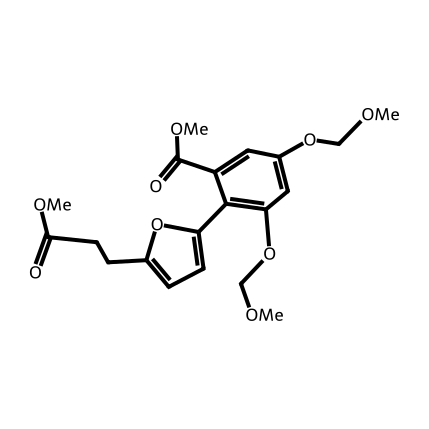 COCOc1cc(OCOC)c(-c2ccc(CCC(=O)OC)o2)c(C(=O)OC)c1